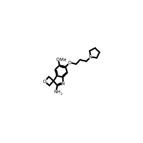 COc1cc2c(cc1OCCCN1CCCC1)N=C(N)C21COC1